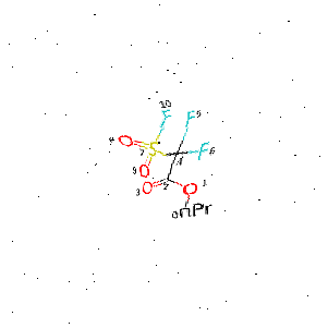 CCCOC(=O)C(F)(F)S(=O)(=O)F